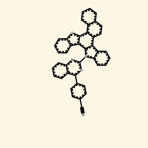 N#Cc1ccc(-c2nc(-n3c4ccccc4c4c5ccc6ccccc6c5c5sc6ccccc6c5c43)nc3ccccc23)cc1